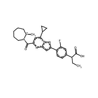 CCC(C(=O)O)c1ccc(-c2cc3nc(C(=O)N4CCCCC[C@H]4C)cc(C4CC4)n3n2)c(F)c1